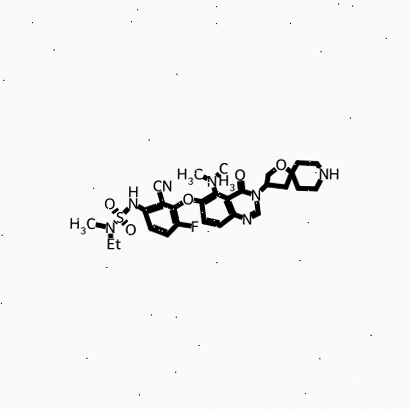 CCN(C)S(=O)(=O)Nc1ccc(F)c(Oc2ccc3ncn(C4COC5(CCNCC5)C4)c(=O)c3c2N(C)C)c1C#N